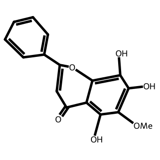 COc1c(O)c(O)c2oc(-c3ccccc3)cc(=O)c2c1O